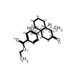 CCOC(=O)c1ccc([C@]23CCC(=O)[C@@H](C)[C@@H]2CCC[C@@H]3O)cc1